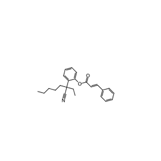 CCCCCC(C#N)(CC)c1ccccc1OC(=O)C=Cc1ccccc1